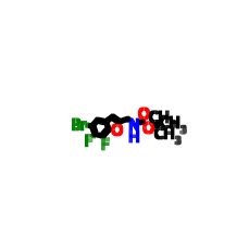 CC(C)(C)OC(=O)NCc1cc2cc(Br)c(F)c(F)c2o1